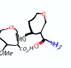 COC1CCOCC1C(=O)O.COC1CCOCC1C(N)=O